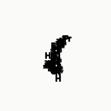 CCC1(N2C(=O)[C@]3(CCNC3=O)Cc3cnc(Nc4ccc(N5CCN(C(C)C)CC5)c(F)c4)nc32)CC[C@H]1C